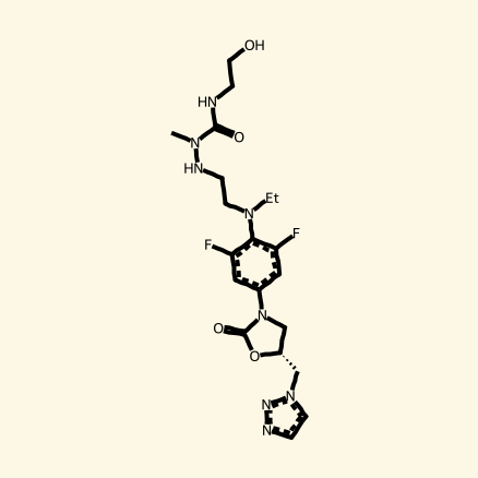 CCN(CCNN(C)C(=O)NCCO)c1c(F)cc(N2C[C@H](Cn3ccnn3)OC2=O)cc1F